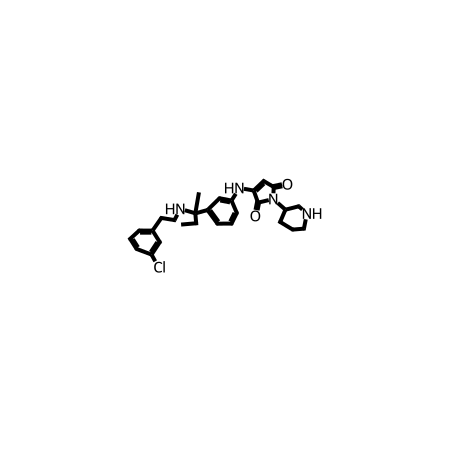 CCC(C)(NCCc1cccc(Cl)c1)c1cccc(NC2=CC(=O)N(C3CCCNC3)C2=O)c1